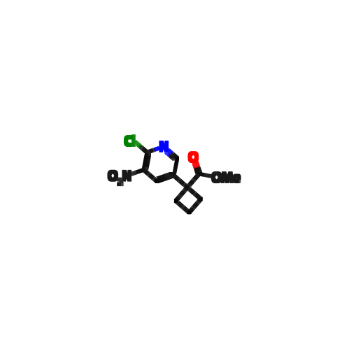 COC(=O)C1(c2cnc(Cl)c([N+](=O)[O-])c2)CCC1